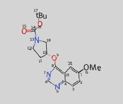 COc1ccc2ncnc(O[C@@H]3CCN(C(=O)OC(C)(C)C)C3)c2c1